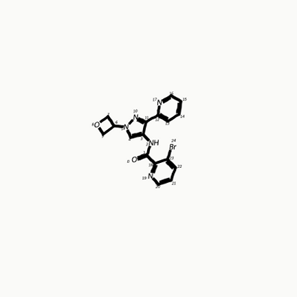 O=C(Nc1cn(C2COC2)nc1-c1ccccn1)c1ncccc1Br